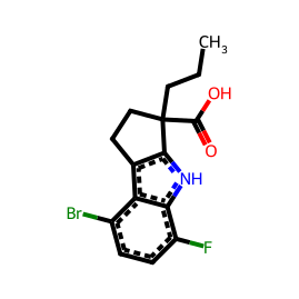 CCCC1(C(=O)O)CCc2c1[nH]c1c(F)ccc(Br)c21